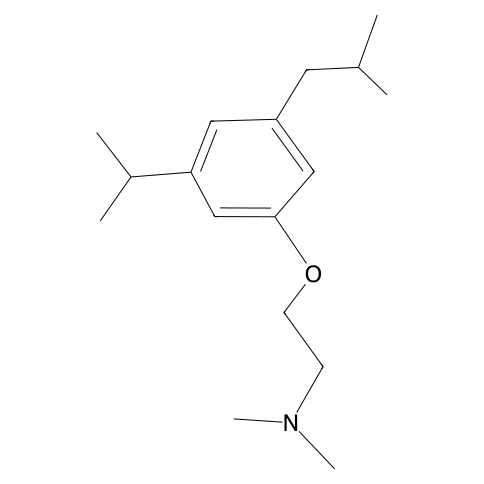 CC(C)Cc1cc(OCCN(C)C)cc(C(C)C)c1